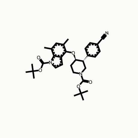 Cc1cc(C)c2c(ccn2C(=O)OC(C)(C)C)c1O[C@@H]1CCN(C(=O)OC(C)(C)C)C[C@H]1c1ccc(C#N)cc1